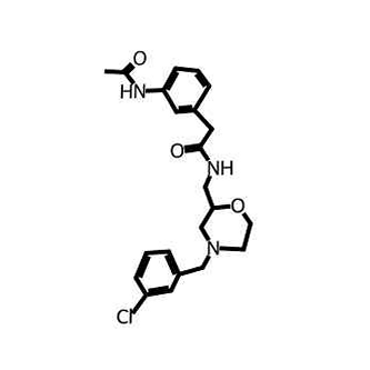 CC(=O)Nc1cccc(CC(=O)NCC2CN(Cc3cccc(Cl)c3)CCO2)c1